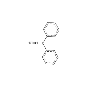 Cl.Cl.c1ccc([I+]c2ccccc2)cc1